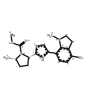 C[C@H]1CC[C@@H](c2ncc(-c3ccc(Cl)c4c3N(C)CC4)[nH]2)N1C(=O)OC(C)(C)C